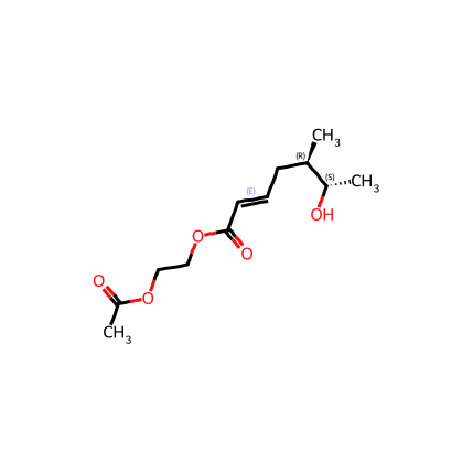 CC(=O)OCCOC(=O)/C=C/C[C@@H](C)[C@H](C)O